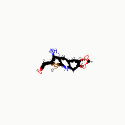 Nc1c(C=O)sc2nc3cc4c(cc3cc12)OCO4